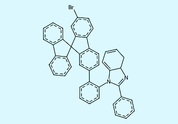 Brc1ccc2c(c1)C1(c3ccccc3-c3ccccc31)c1cc(-c3ccccc3N3C4=CC=CCC4N=C3c3ccccc3)ccc1-2